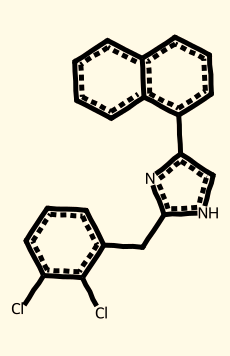 Clc1cccc(Cc2nc(-c3cccc4ccccc34)c[nH]2)c1Cl